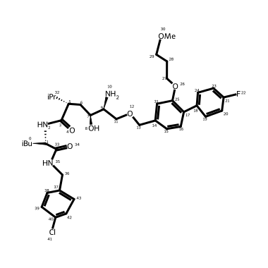 CC[C@H](C)[C@H](NC(=O)[C@@H](C[C@H](O)[C@@H](N)COCc1ccc(-c2ccc(F)cc2)c(OCCCOC)c1)C(C)C)C(=O)NCc1ccc(Cl)cc1